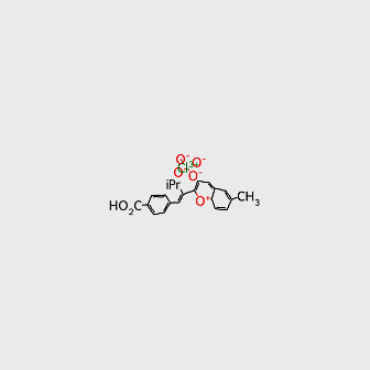 Cc1ccc2[o+]c(C(=Cc3ccc(C(=O)O)cc3)C(C)C)ccc2c1.[O-][Cl+3]([O-])([O-])[O-]